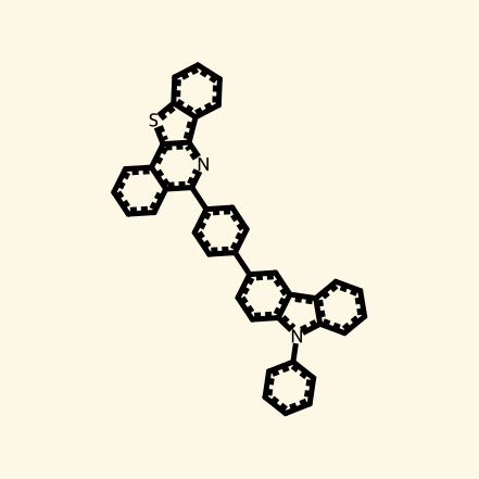 c1ccc(-n2c3ccccc3c3cc(-c4ccc(-c5nc6c7ccccc7sc6c6ccccc56)cc4)ccc32)cc1